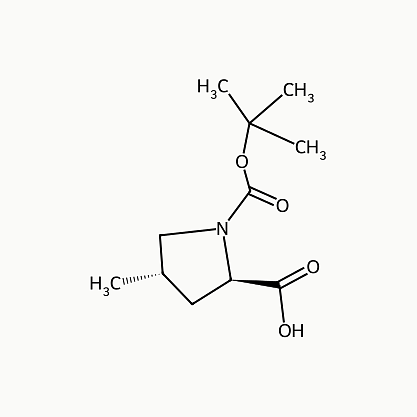 C[C@H]1C[C@H](C(=O)O)N(C(=O)OC(C)(C)C)C1